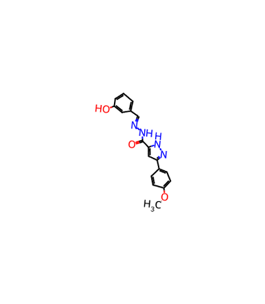 COc1ccc(-c2cc(C(=O)N/N=C/c3cccc(O)c3)[nH]n2)cc1